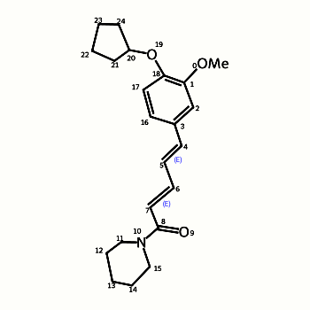 COc1cc(/C=C/C=C/C(=O)N2CCCCC2)ccc1OC1CCCC1